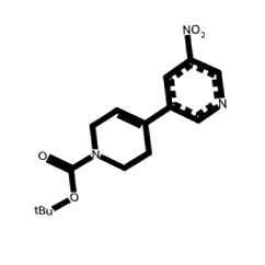 CC(C)(C)OC(=O)N1CC=C(c2cncc([N+](=O)[O-])c2)CC1